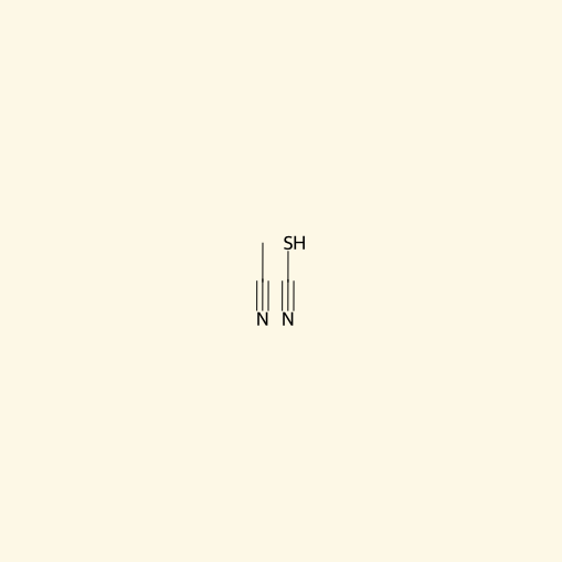 CC#N.N#CS